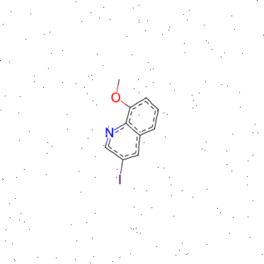 COc1cccc2cc(I)cnc12